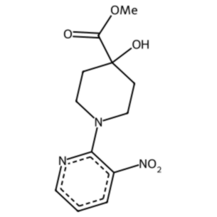 COC(=O)C1(O)CCN(c2ncccc2[N+](=O)[O-])CC1